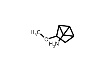 COC1CC2C3C1C23N